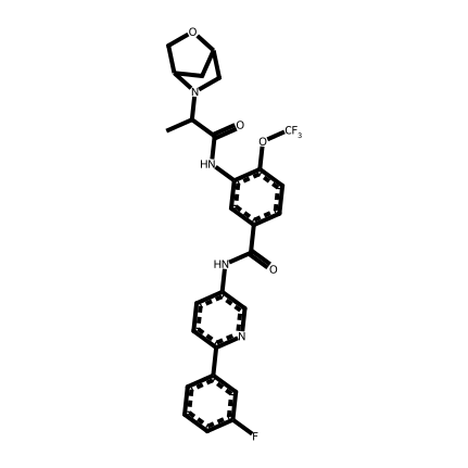 CC(C(=O)Nc1cc(C(=O)Nc2ccc(-c3cccc(F)c3)nc2)ccc1OC(F)(F)F)N1CC2CC1CO2